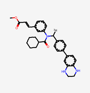 [2H]C(c1ccc(-c2ccc3c(c2)NCCN3)cc1)N(C(=O)C1CCCCC1)c1cccc(/C=C/C(=O)OC)c1